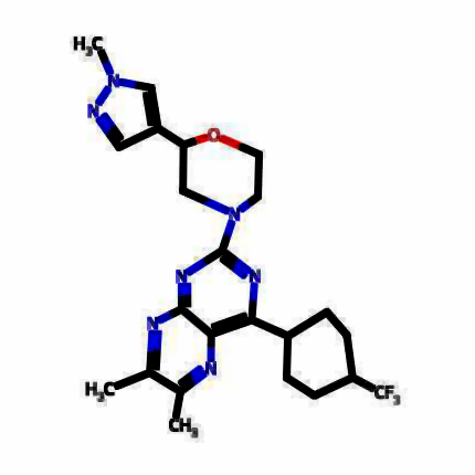 Cc1nc2nc(N3CCOC(c4cnn(C)c4)C3)nc(C3CCC(C(F)(F)F)CC3)c2nc1C